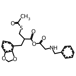 CC(=O)SCC(Cc1cccc2c1OCO2)C(=O)OC(=O)CNCc1ccccc1